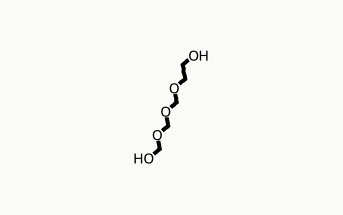 OCCOCOCOCO